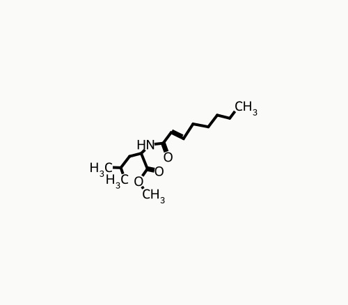 CCCCCC=CC(=O)NC(CC(C)C)C(=O)OC